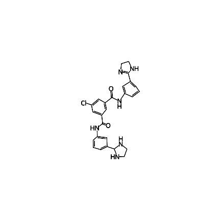 O=C(Nc1cccc(C2=NCCN2)c1)c1cc(Cl)cc(C(=O)Nc2cccc(C3NCCN3)c2)c1